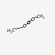 CCCCCCCC1CCC(c2ccc(C3CCC(CCC)CC3)cc2)CC1